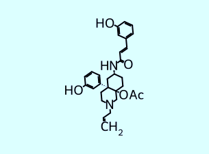 C=CCN1CC[C@@]2(c3cccc(O)c3)C[C@@H](NC(=O)C=Cc3cccc(O)c3)CC[C@]2(OC(C)=O)C1